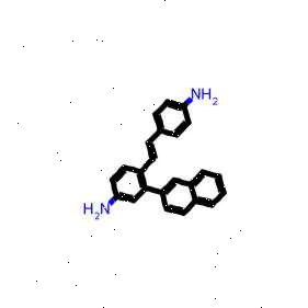 Nc1ccc(C=Cc2ccc(N)cc2-c2ccc3ccccc3c2)cc1